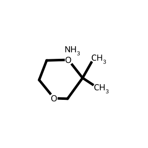 CC1(C)COCCO1.N